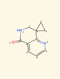 O=C1NCC2(CC2)c2ncccc21